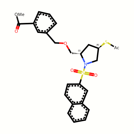 COC(=O)c1cccc(COC[C@@H]2C[C@@H](SC(C)=O)CN2S(=O)(=O)c2ccc3ccccc3c2)c1